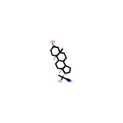 CC(O)(C#N)[C@H]1CCC2C3CCC4(C)C[C@H](O)CC[C@]4(C)C3CC[C@@]21C